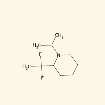 CC(C)N1CCCCC1C(C)(F)F